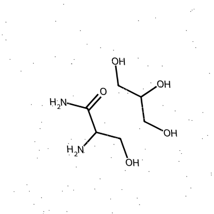 NC(=O)C(N)CO.OCC(O)CO